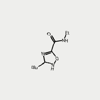 CCNC(=O)C1=NC(C(C)(C)C)NO1